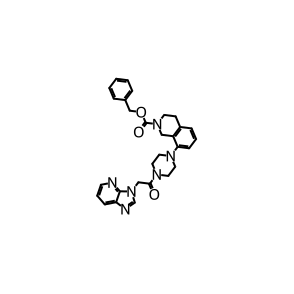 O=C(Cn1cnc2cccnc21)N1CCN(c2cccc3c2CN(C(=O)OCc2ccccc2)CC3)CC1